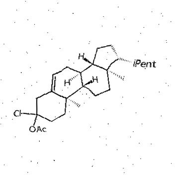 CCC[C@@H](C)[C@H]1CC[C@H]2[C@@H]3CC=C4CC(Cl)(OC(C)=O)CC[C@]4(C)[C@H]3CC[C@]12C